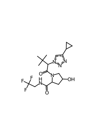 CC(C)(C)C(C(=O)N1CC(O)CC1C(=O)NCC(F)(F)F)n1cc(C2CC2)nn1